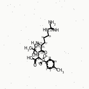 Cc1ccc(S(=O)(=O)[C@@H](C(=O)O)N(C(=O)[C@@H](N)CCCNC(=N)N)C(C)(C)C)cc1